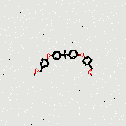 COCc1ccc(Oc2ccc(C(C)(C)c3ccc(Oc4ccc(COC)cc4)cc3)cc2)cc1